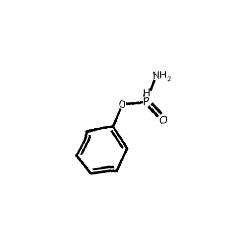 N[PH](=O)Oc1ccccc1